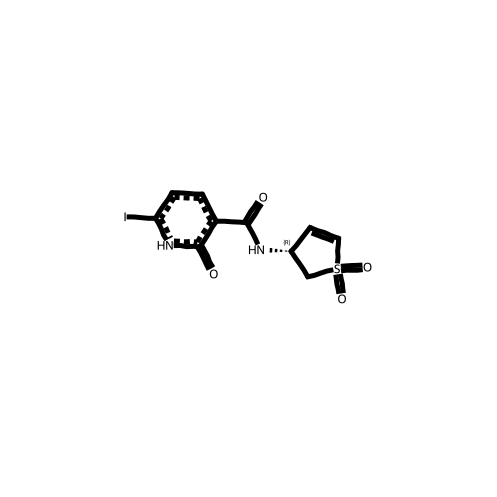 O=C(N[C@@H]1C=CS(=O)(=O)C1)c1ccc(I)[nH]c1=O